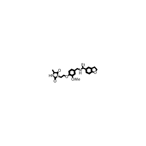 CCC(NCc1ccc(OCCN2C(=O)NC(C)C2=O)c(OC)c1)c1ccc2c(c1)CCO2